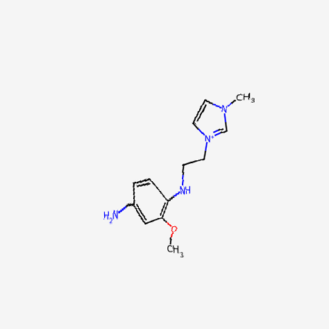 COc1cc(N)ccc1NCC[n+]1ccn(C)c1